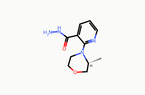 C[C@@H]1COCCN1c1ncccc1C(=O)NN